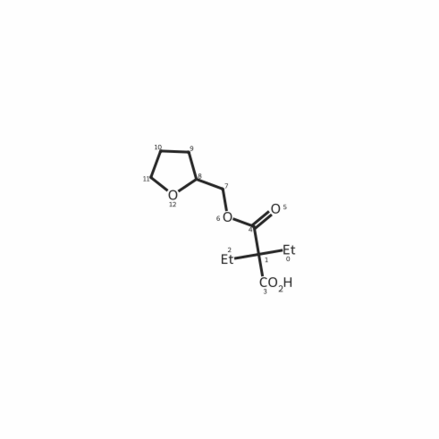 CCC(CC)(C(=O)O)C(=O)OCC1CCCO1